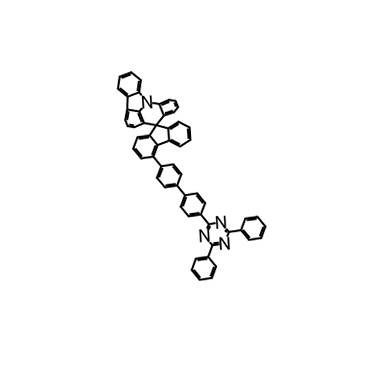 c1ccc(-c2nc(-c3ccccc3)nc(-c3ccc(-c4ccc(-c5cccc6c5-c5ccccc5C65c6ccccc6-n6c7ccccc7c7cccc5c76)cc4)cc3)n2)cc1